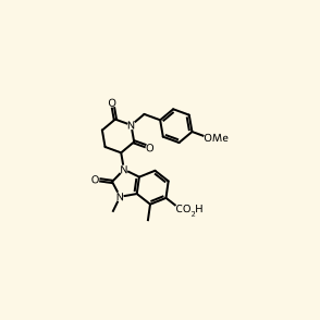 COc1ccc(CN2C(=O)CCC(n3c(=O)n(C)c4c(C)c(C(=O)O)ccc43)C2=O)cc1